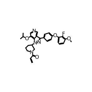 C=CC(=O)N1CCCC(n2nc(-c3ccc(Oc4cccc(OC)c4F)cc3)c3cncc(OC(C)C)c32)C1